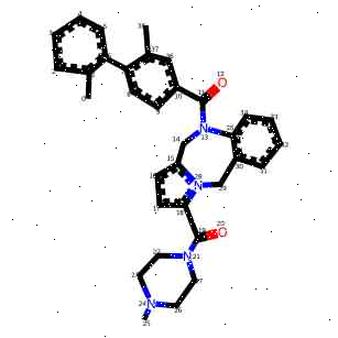 Cc1ccccc1-c1ccc(C(=O)N2Cc3ccc(C(=O)N4CCN(C)CC4)n3Cc3ccccc32)cc1C